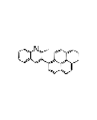 Cc1nc2ccccc2cc1-c1ccc2ccc3cccc4ccc1c2c34